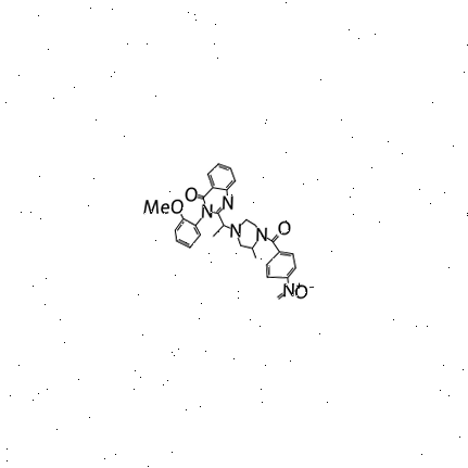 C=[N+]([O-])c1ccc(C(=O)N2CCN(C(C)c3nc4ccccc4c(=O)n3-c3ccccc3OC)CC2C)cc1